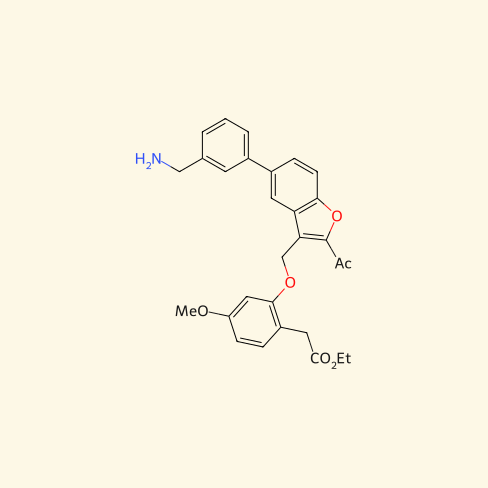 CCOC(=O)Cc1ccc(OC)cc1OCc1c(C(C)=O)oc2ccc(-c3cccc(CN)c3)cc12